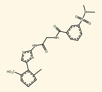 Cc1cccc(C(=O)O)c1-c1csc(NC(=O)CNC(=O)c2cccc(S(=O)(=O)N(C)C)c2)n1